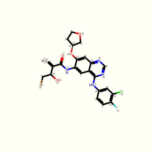 C=C(C(=O)Nc1cc2c(Nc3ccc(F)c(Cl)c3)ncnc2cc1O[C@H]1CCOC1)C(O)CBr